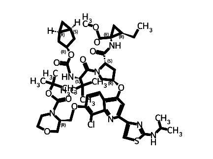 CC[C@@H]1C[C@]1(NC(=O)[C@@H]1C[C@@H](Oc2cc(-c3csc(NC(C)C)n3)nc3c(Cl)c(OC[C@H]4COCCN4C(=O)OC(C)(C)C)ccc23)CN1C(=O)[C@@H](NC(=O)O[C@@H]1C[C@@H]2C[C@@H]2C1)C(C)(C)C)C(=O)OC